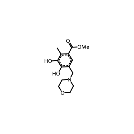 COC(=O)c1cc(CN2CCOCC2)c(O)c(O)c1C